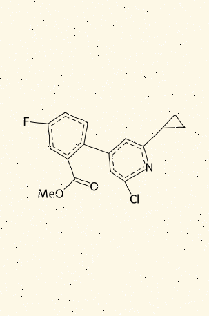 COC(=O)c1cc(F)ccc1-c1cc(Cl)nc(C2CC2)c1